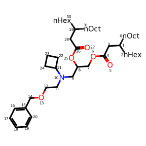 CCCCCCCCC(CCCCCC)CC(=O)OCC(CN(CCOCc1ccccc1)C1CCC1)OC(=O)CC(CCCCCC)CCCCCCCC